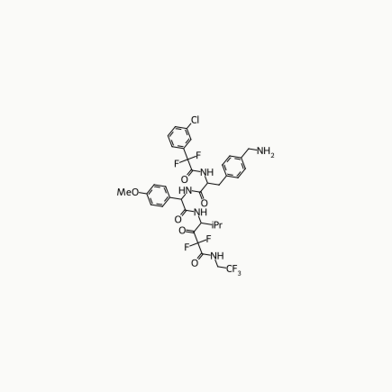 COc1ccc(C(NC(=O)C(Cc2ccc(CN)cc2)NC(=O)C(F)(F)c2cccc(Cl)c2)C(=O)NC(C(=O)C(F)(F)C(=O)NCC(F)(F)F)C(C)C)cc1